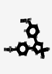 CCOC(=O)c1ccc(C2=CS(=O)(=O)C=C2c2ccc(C(=O)OCC)cc2)cc1